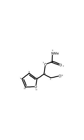 CNC(=O)OC(CCl)c1ccco1